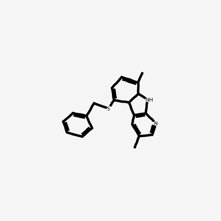 CC1=CC=C(SCc2ccccc2)C2c3cc(C)cnc3NC12